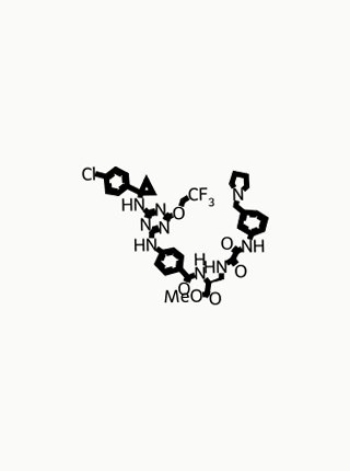 COC(=O)[C@H](CNC(=O)C(=O)Nc1cccc(CN2CCCC2)c1)NC(=O)c1ccc(Nc2nc(NC3(c4ccc(Cl)cc4)CC3)nc(OCC(F)(F)F)n2)cc1